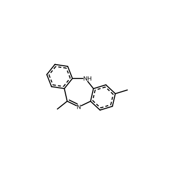 CC1=Nc2ccc(C)cc2Nc2ccccc21